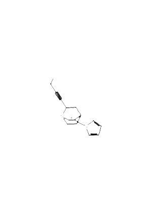 OCC#CC1CC2CCN1C[C@@H]2n1cccc1